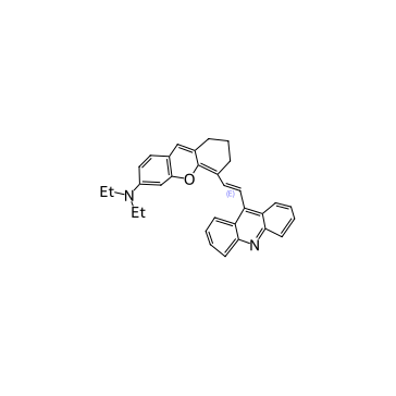 CCN(CC)c1ccc2c(c1)OC1=C(/C=C/c3c4ccccc4nc4ccccc34)CCCC1=C2